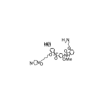 COc1cc(C(=O)[N+](C)(C)c2ccccc2OCCCCCC(=O)N2CCC(N(C)C)CC2)ccc1NC(=O)c1ccccc1OCCCN.Cl.Cl